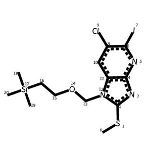 CSc1nc2nc(I)c(Cl)cc2n1COCC[Si](C)(C)C